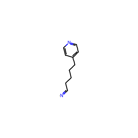 [N]=CCCCCc1ccncc1